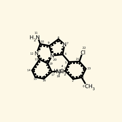 Cc1cc(C)c(-c2ncc3c(N)nc4cccc(N)c4n23)c(Cl)c1